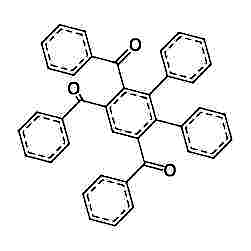 O=C(c1ccccc1)c1cc(C(=O)c2ccccc2)c(-c2ccccc2)c(-c2ccccc2)c1C(=O)c1ccccc1